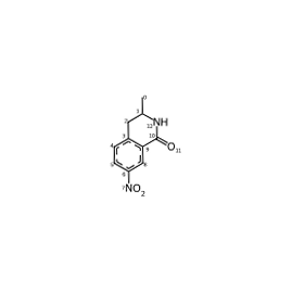 CC1Cc2ccc([N+](=O)[O-])cc2C(=O)N1